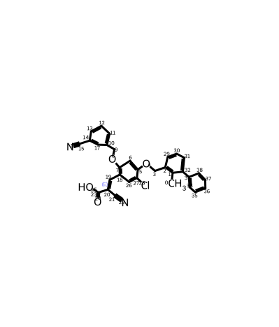 Cc1c(COc2cc(OCc3cccc(C#N)c3)c(/C=C(\C#N)C(=O)O)cc2Cl)cccc1-c1ccccc1